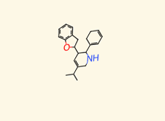 CC(C)C1=CC(C2Cc3ccccc3O2)C(C2=CC=CCC2)NC1